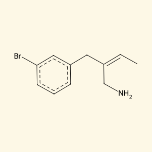 C/C=C(\CN)Cc1cccc(Br)c1